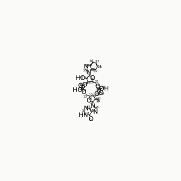 O=c1[nH]cnc2c1ncn2C1OC2COP(=O)(O)OC3C(COP(=O)(O)OC2C1F)OC(n1cnc2ccccc21)C3O